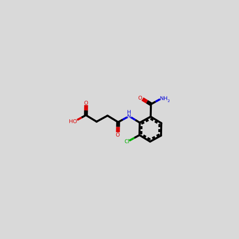 NC(=O)c1cccc(Cl)c1NC(=O)CCC(=O)O